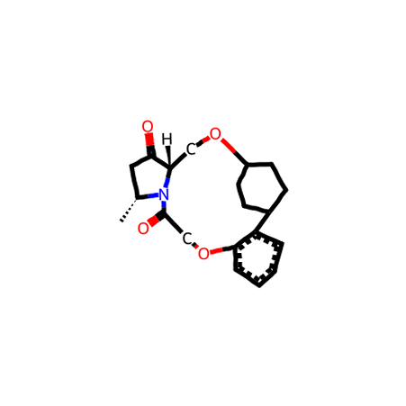 C[C@@H]1CC(=O)[C@@H]2COC3CCC(CC3)c3ccccc3OCC(=O)N12